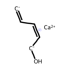 [CH-]=C/C=C\[CH-]O.[Ca+2]